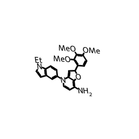 CCn1ccc2cc(N3C=CC(N)=C4OC(c5ccc(OC)c(OC)c5OC)C=C43)ccc21